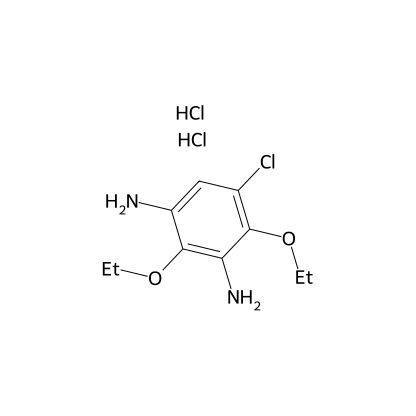 CCOc1c(N)cc(Cl)c(OCC)c1N.Cl.Cl